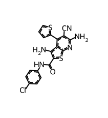 N#Cc1c(N)nc2sc(C(=O)Nc3ccc(Cl)cc3)c(N)c2c1-c1cccs1